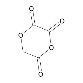 O=C1COC(=O)C(=O)O1